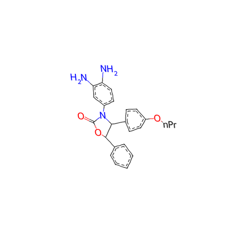 CCCOc1ccc(C2C(c3ccccc3)OC(=O)N2c2ccc(N)c(N)c2)cc1